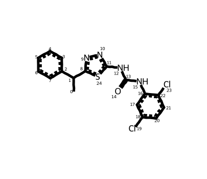 CC(c1ccccc1)c1nnc(NC(=O)Nc2cc(Cl)ccc2Cl)s1